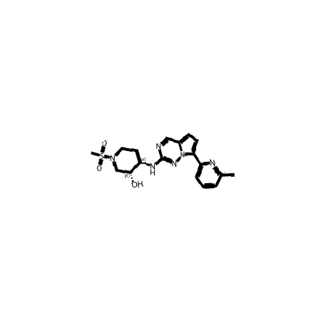 Cc1cccc(-c2ccc3cnc(N[C@@H]4CCN(S(C)(=O)=O)C[C@H]4O)nn23)n1